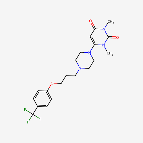 Cn1c(N2CCN(CCCOc3ccc(C(F)(F)F)cc3)CC2)cc(=O)n(C)c1=O